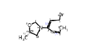 C/C=N\C(=C/CBr)N1CO[C@@H](C)C1